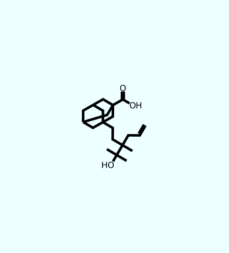 C=CCC(C)(CCC12CC3CC(C1)CC(C(=O)O)(C3)C2)C(C)(C)O